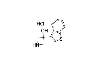 Cl.OC1(c2csc3ccccc23)CNC1